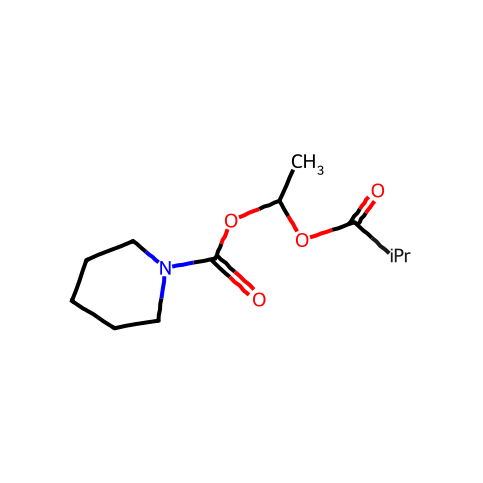 CC(OC(=O)C(C)C)OC(=O)N1CCCCC1